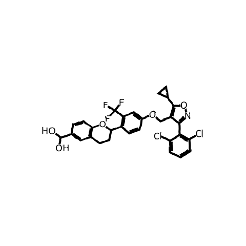 OC(O)c1ccc2c(c1)CCC(c1ccc(OCc3c(-c4c(Cl)cccc4Cl)noc3C3CC3)cc1C(F)(F)F)O2